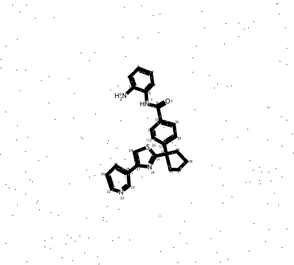 Nc1ccccc1NC(=O)c1ccc(C2(c3nc(-c4cccnc4)cs3)CCCC2)cc1